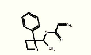 C=CC(=O)OC(C)C1(c2ccccc2)CCO1